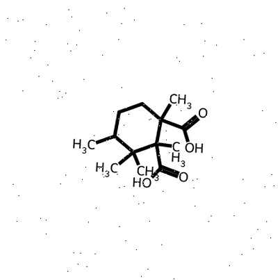 CC1CCC(C)(C(=O)O)C(C)(C(=O)O)C1(C)C